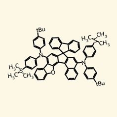 CC(C)(C)c1ccc(N(c2ccc(S(C)(C)C)cc2)c2cc3c(c4ccccc24)-c2c(cc(N(c4ccc(C(C)(C)C)cc4)c4ccc(S(C)(C)C)cc4)c4c2oc2ccccc24)C32c3ccccc3-c3ccccc32)cc1